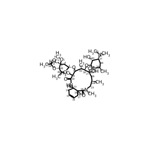 CO[C@]1(C)C[C@H](O[C@@H]2C(C)C(=O)N[C@H]3CC=CC[C@H]3C(=O)N(C)C[C@H](C)C[C@@](C)(O)[C@H](O[C@@H]3O[C@H](C)C[C@H](N(C)C)[C@H]3O)[C@H]2C)O[C@@H](C)[C@@H]1OC(C)=O